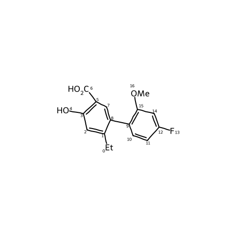 CCc1cc(O)c(C(=O)O)cc1-c1ccc(F)cc1OC